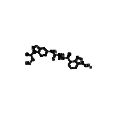 Cn1cnc2c(C(=O)NNC(=S)Nc3ccc4c(cnn4C(=O)OC(C)(C)C)c3)cccc21